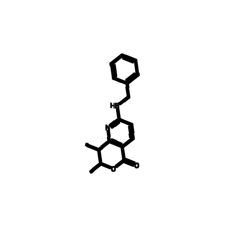 CC1OC(=O)c2ccc(BCc3ccccc3)nc2C1C